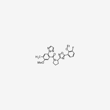 CCOc1c(F)cccc1-c1nc(C2CCCN2C(=O)c2cc(OC)c(C)cc2-n2nccn2)no1